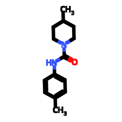 Cc1ccc(NC(=O)N2CCC(C)CC2)cc1